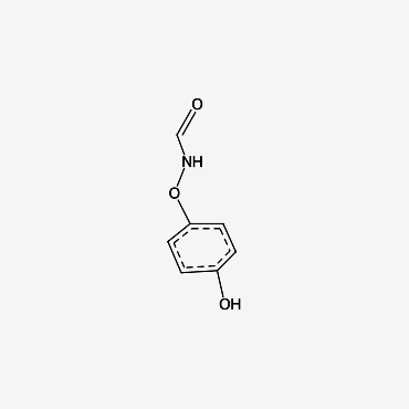 O=CNOc1ccc(O)cc1